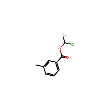 CCCCC(Cl)OC(=O)c1cccc(C)c1